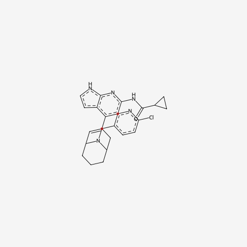 O=C(Nc1cc(C2=CC3CCCC(C2)N3Cc2ccc(Cl)nc2)c2cc[nH]c2n1)C1CC1